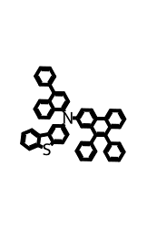 c1ccc(-c2ccc(N(c3ccc4c(c3)c(-c3ccccc3)c(-c3ccccc3)c3ccccc34)c3ccc4sc5ccccc5c4c3)c3ccccc23)cc1